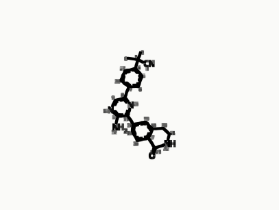 CC(C)(C#N)c1ccc(-c2cnc(N)c(-c3ccc4c(c3)CCNC4=O)n2)cc1